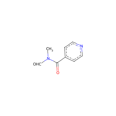 CN(C=O)C(=O)c1ccncc1